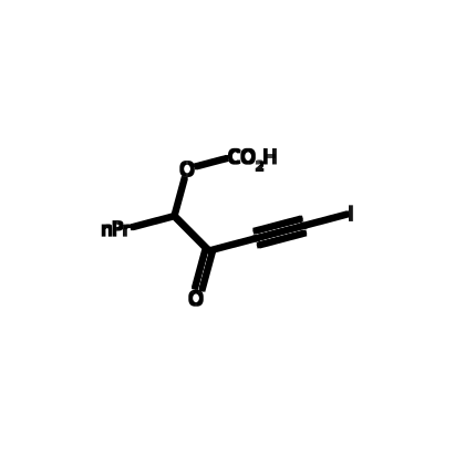 CCCC(OC(=O)O)C(=O)C#CI